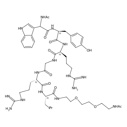 CC(=O)NCCOCCOCCNC(=O)[C@H](CC(C)C)NC(=O)[C@H](CCCNC(=N)N)NC(=O)CNC(=O)[C@H](CCCNC(=N)N)NC(=O)[C@H](Cc1ccc(O)cc1)NC(=O)C(NC(C)=O)c1c[nH]c2ccccc12